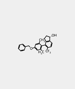 Cc1cc(OCc2ccccc2)cc(C)c1-c1c(C(F)(F)F)ccc2c1CC[C@@H]2O